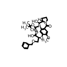 COc1cc2c(cc1OC(COCc1ccccc1)C(=O)O)N(C(=O)OC(C)(C)C)C(O)[C@@H]1CCCN1C2=O